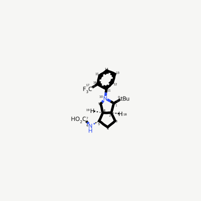 CC(C)(C)C1[C@H]2CC[C@H](NC(=O)O)[C@H]2CN1c1ccccc1C(F)(F)F